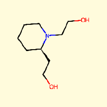 OCC[C@H]1CCCCN1CCO